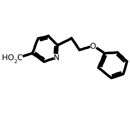 O=C(O)c1ccc(CCOc2ccccc2)nc1